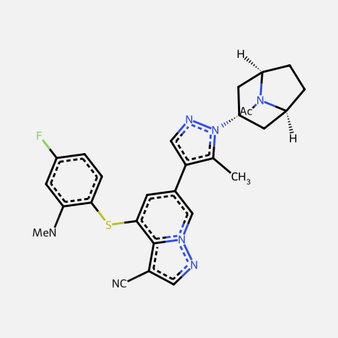 CNc1cc(F)ccc1Sc1cc(-c2cnn([C@@H]3C[C@H]4CC[C@@H](C3)N4C(C)=O)c2C)cn2ncc(C#N)c12